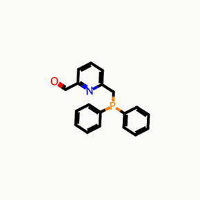 O=Cc1cccc(CP(c2ccccc2)c2ccccc2)n1